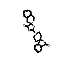 O=C1OC2(CCN(C3=NC(=O)[C@]4(CCc5ccccc5C4)O3)CC2)c2ccccc21